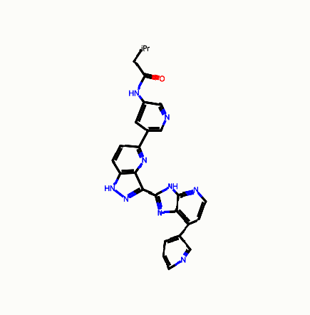 CC(C)CC(=O)Nc1cncc(-c2ccc3[nH]nc(-c4nc5c(-c6cccnc6)ccnc5[nH]4)c3n2)c1